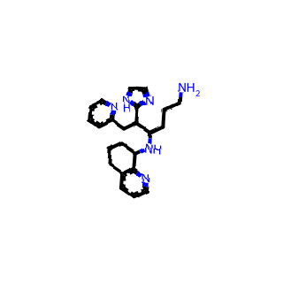 NCCCC(NC1CCCc2cccnc21)C(Cc1ccccn1)c1ncc[nH]1